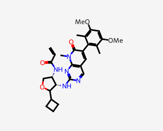 C=CC(=O)N[C@H]1COC(C2CCC2)[C@H]1Nc1ncc2cc(-c3c(C)c(OC)cc(OC)c3C)c(=O)n(C)c2n1